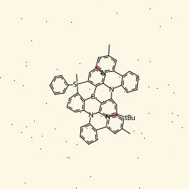 Cc1ccnc(-c2ccccc2N2c3cc(C(C)(C)C)cc4c3B3c5c2cccc5[Si](C)(c2ccccc2)c2cccc(c23)N4c2ccccc2-c2cc(C)ccn2)c1